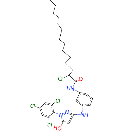 CCCCCCCCCCCCC(Cl)C(=O)Nc1cccc(Nc2cc(O)n(-c3c(Cl)cc(Cl)cc3Cl)n2)c1